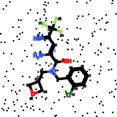 N=C(/C=C(\N)C(O)N(Cc1ccccc1Cl)CC1COC1)C(F)(F)F